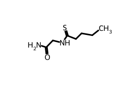 CCCCC(=S)NCC(N)=O